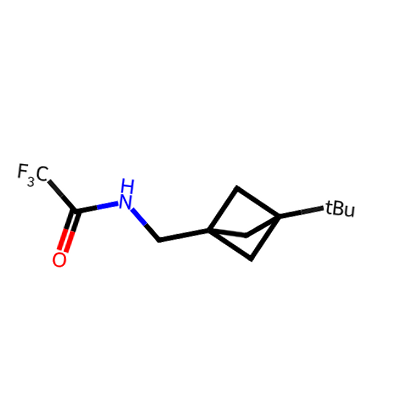 CC(C)(C)C12CC(CNC(=O)C(F)(F)F)(C1)C2